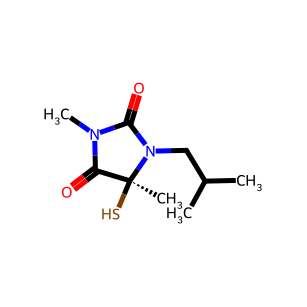 CC(C)CN1C(=O)N(C)C(=O)[C@]1(C)S